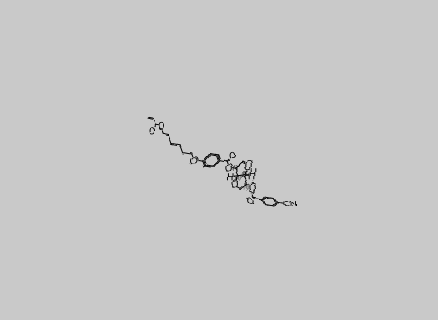 C=CC(=O)OCCCCCCOc1ccc(C(=O)O[C@H]2CO[C@H]3[C@@H]2OC[C@H]3OC(=O)c2ccc(C#N)cc2)cc1